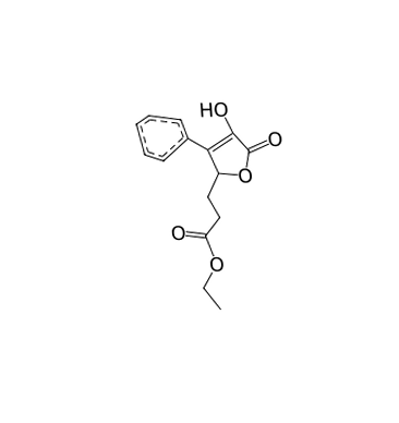 CCOC(=O)CCC1OC(=O)C(O)=C1c1ccccc1